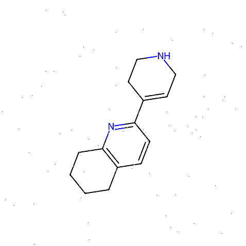 C1=C(c2ccc3c(n2)CCCC3)CCNC1